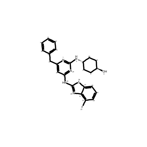 O[C@H]1CC[C@H](Nc2nc(Cc3ccccc3)cc(Nc3nc4c(F)cccc4s3)n2)CC1